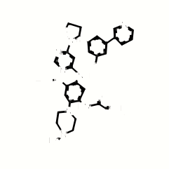 C=CC(=O)Nc1cc(Nc2cc(N3OCC[C@@H]3c3cc(F)cc(-c4cccnc4)c3)ncn2)c(OC)cc1N1CCN(C)CC1